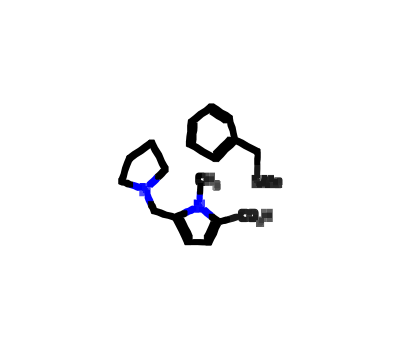 CNCc1ccccc1.Cn1c(CN2CCCC2)ccc1C(=O)O